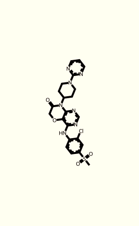 CS(=O)(=O)c1ccc(Nc2ncnc3c2OCC(=O)N3C2CCN(c3ncccn3)CC2)c(Cl)c1